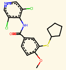 COc1ccc(C(=O)Nc2c(Cl)cncc2Cl)cc1SC1CCCC1